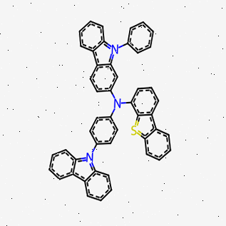 c1ccc(-n2c3ccccc3c3ccc(N(c4ccc(-n5c6ccccc6c6ccccc65)cc4)c4cccc5c4sc4ccccc45)cc32)cc1